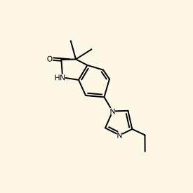 CCc1cn(-c2ccc3c(c2)NC(=O)C3(C)C)cn1